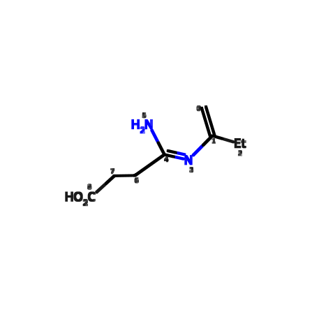 C=C(CC)/N=C(\N)CCC(=O)O